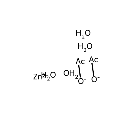 CC(=O)[O-].CC(=O)[O-].O.O.O.O.[Zn+2]